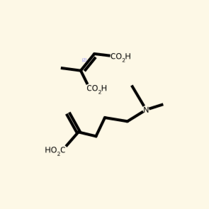 C/C(=C/C(=O)O)C(=O)O.C=C(CCCN(C)C)C(=O)O